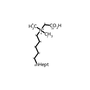 CCCCCCCCCCCC[N+](C)(C)CC(=O)O